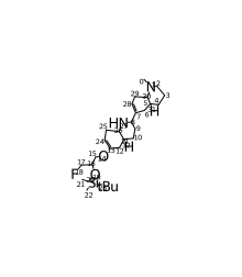 CN1CCC[C@@H]2CC(C3CC[C@@H]4CC(OCC(CF)O[Si](C)(C)C(C)(C)C)=CCC4N3)=CCC21